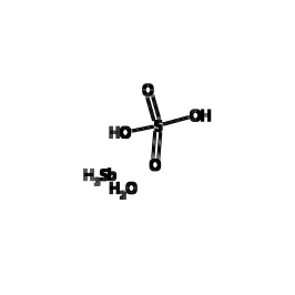 O.O=S(=O)(O)O.[SbH3]